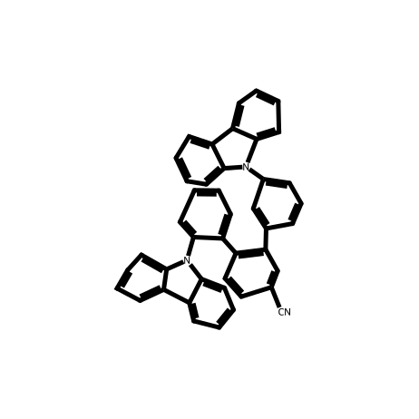 N#Cc1ccc(-c2ccccc2-n2c3ccccc3c3ccccc32)c(-c2cccc(-n3c4ccccc4c4ccccc43)c2)c1